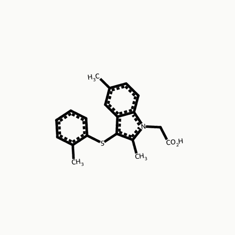 Cc1ccc2c(c1)c(Sc1ccccc1C)c(C)n2CC(=O)O